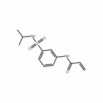 C=CC(=O)Nc1cccc(S(=O)(=O)NC(C)C)c1